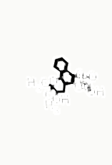 CC1(C)Oc2c(c(O)c(O[PH](=O)OO)c3ccccc23)CC1O